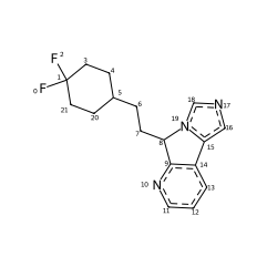 FC1(F)CCC(CCC2c3ncccc3-c3cncn32)CC1